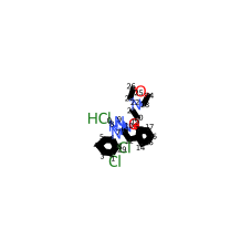 Cl.Clc1cccc(-n2nnnc2Cc2ccccc2OCCN2CCOCC2)c1Cl